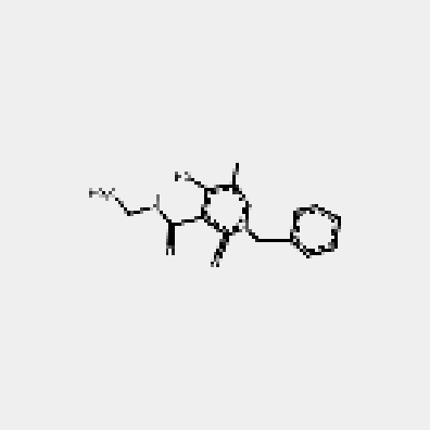 Cc1nn(Cc2ccccc2)c(=O)c(C(=O)NCC(=O)O)c1O